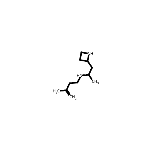 C=C(C)CCNC(C)CC1CCN1